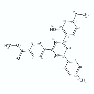 COC(=O)c1ccc(-c2nc(-c3ccc(C)cc3)nc(-c3ccc(OC)cc3O)n2)cc1